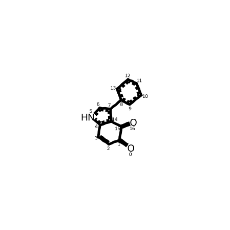 O=C1C=Cc2[nH]cc(-c3ccccc3)c2C1=O